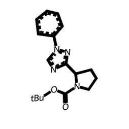 CC(C)(C)OC(=O)N1CCCC1c1ncn(-c2ccccc2)n1